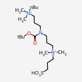 CCCC[N+](C)(C)CCCN(CCC[N+](C)(C)CCCS(=O)(=O)O)C(=O)OC(C)(C)C